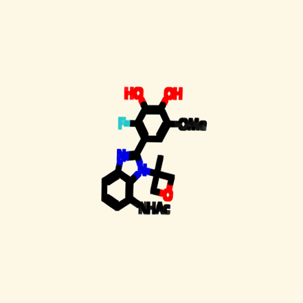 COc1cc(-c2nc3cccc(NC(C)=O)c3n2C2(C)COC2)c(F)c(O)c1O